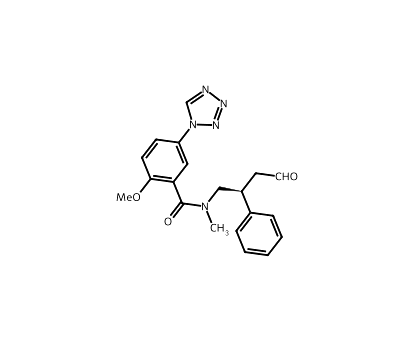 COc1ccc(-n2cnnn2)cc1C(=O)N(C)C[C@@H](CC=O)c1ccccc1